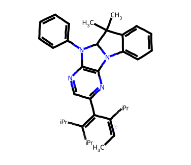 C/C=C(\C(=C(C(C)C)C(C)C)c1cnc2c(n1)N1c3ccccc3C(C)(C)C1N2c1ccccc1)C(C)C